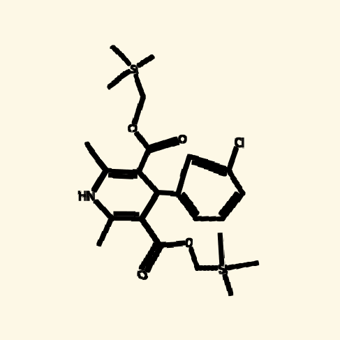 CC1=C(C(=O)OC[Si](C)(C)C)C(c2cccc(Cl)c2)C(C(=O)OC[Si](C)(C)C)=C(C)N1